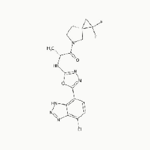 C[C@@H](Nc1nnc(-c2ccc(Cl)c3nn[nH]c23)o1)C(=O)N1CC[C@]2(C1)CC2(F)F